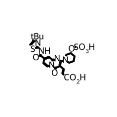 CC(C)(C)c1csc(NC(=O)c2ccn3c(=O)c(C=CC(=O)O)c(N4CCC[C@@H](OS(=O)(=O)O)C4)nc3c2)n1